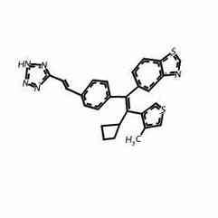 Cc1cscc1C(=C(c1ccc(C=Cc2nn[nH]n2)cc1)c1ccc2scnc2c1)C1CCC1